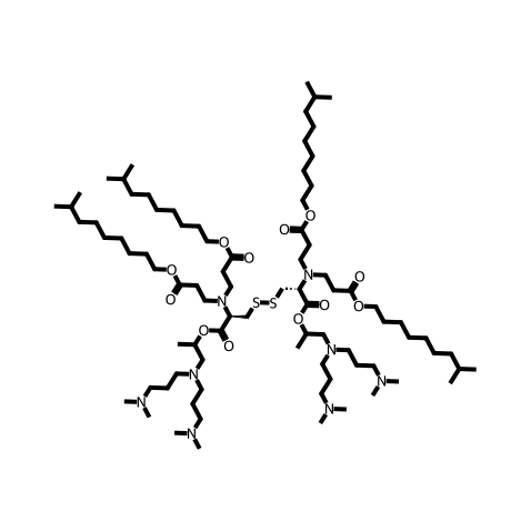 CC(C)CCCCCCCOC(=O)CCN(CCC(=O)OCCCCCCCC(C)C)[C@@H](CSSC[C@@H](C(=O)OC(C)CN(CCCN(C)C)CCCN(C)C)N(CCC(=O)OCCCCCCCC(C)C)CCC(=O)OCCCCCCCC(C)C)C(=O)OC(C)CN(CCCN(C)C)CCCN(C)C